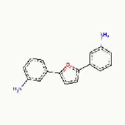 Nc1cccc(-c2ccc(-c3cccc(N)c3)o2)c1